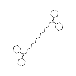 C(CCCCCCN(C1CCCCC1)C1CCCCC1)CCCCCN(C1CCCCC1)C1CCCCC1